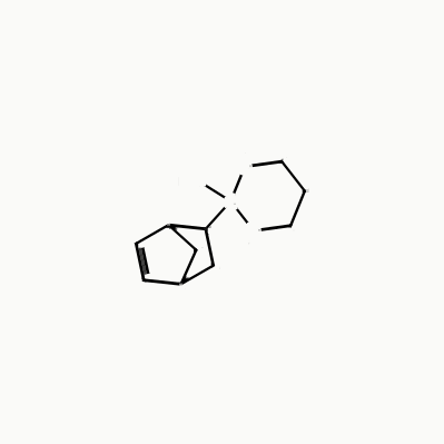 C[Si]1(C2CC3C=CC2C3)OCCCO1